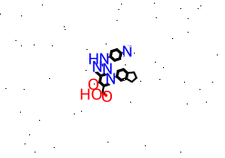 CN(C)c1ccc(Nc2ncc3c(=O)c(C(=O)O)cn(-c4ccc5c(c4)CCC5)c3n2)cc1